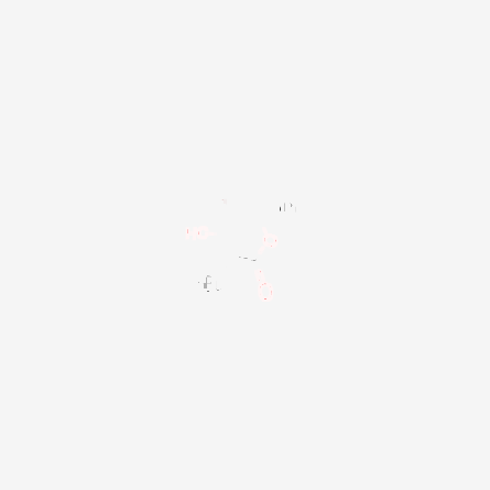 CCCCc1c(O)c(Br)c(CCC)oc1=O